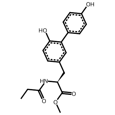 CCC(=O)N[C@@H](Cc1ccc(O)c(-c2ccc(O)cc2)c1)C(=O)OC